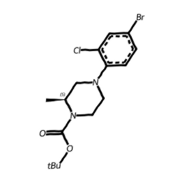 C[C@H]1CN(c2ccc(Br)cc2Cl)CCN1C(=O)OC(C)(C)C